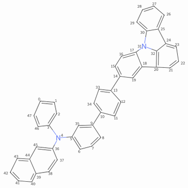 c1ccc(N(c2cccc(-c3ccc(-c4ccc5c(c4)c4cccc6c7ccccc7n5c64)cc3)c2)c2ccc3ccccc3c2)cc1